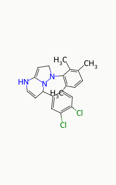 Cc1ccc(C)c(N2CC=C3NC=CC(c4ccc(Cl)c(Cl)c4)N32)c1C